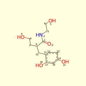 O=C(NCCO)C(CCO)Cc1ccc(O)cc1O